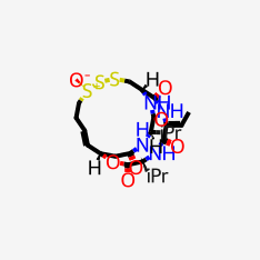 C/C=C1\NC(=O)[C@H]2CSS[S@+]([O-])CC/C=C/[C@H](CC(=O)N[C@H](C(C)C)C(=O)N2)OC(=O)[C@H](C(C)C)NC1=O